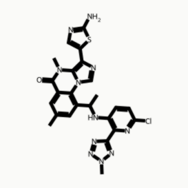 Cc1cc(C(C)Nc2ccc(Cl)nc2-c2nnn(C)n2)c2c(c1)c(=O)n(C)c1c(-c3cnc(N)s3)ncn21